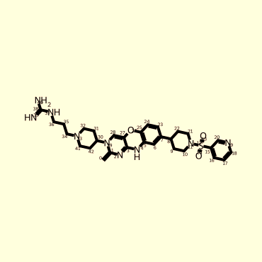 C=C1N=C2Nc3cc(C4CCN(S(=O)(=O)c5cccnc5)CC4)ccc3OC2=CN1C1CCN(CCCNC(=N)N)CC1